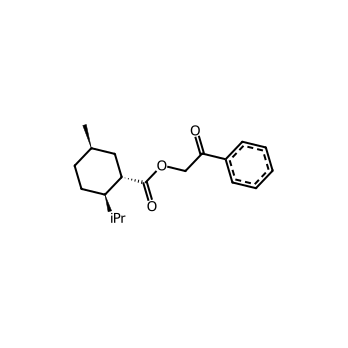 CC(C)[C@H]1CC[C@@H](C)C[C@@H]1C(=O)OCC(=O)c1ccccc1